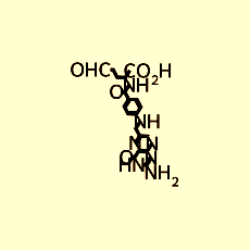 Nc1nc2ncc(CNc3ccc(C(=O)NC(CCC=O)C(=O)O)cc3)nc2c(=O)[nH]1